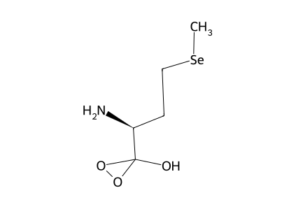 C[Se]CC[C@H](N)C1(O)OO1